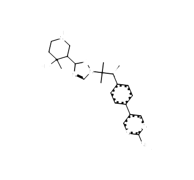 C[C@@H](c1ccc(-c2cnc(N)nc2)cc1)C(C)(C)N1C=NC(C2CNCCC2(C)O)O1